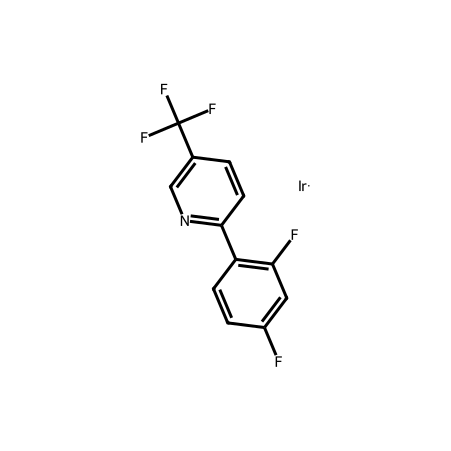 Fc1ccc(-c2ccc(C(F)(F)F)cn2)c(F)c1.[Ir]